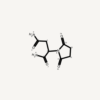 NC(=O)CC(C(N)=O)N1C(=O)CCC1=O